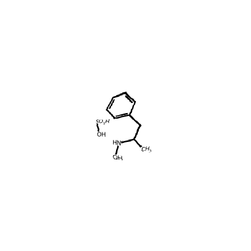 CC(Cc1ccccc1)NO.O=S(=O)(O)O